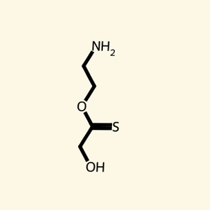 NCCOC(=S)CO